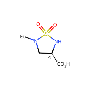 CCN1C[C@@H](C(=O)O)NS1(=O)=O